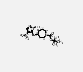 Cn1ncc([N+](=O)[O-])c1NC1CCCN(C(=O)OC(C)(C)C)CC1